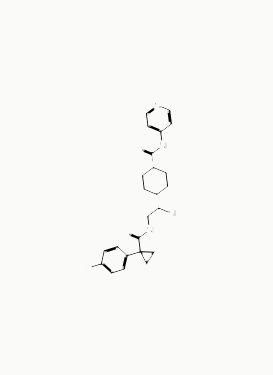 NC(CNC(=O)C1(c2ccc(F)cc2)CC1)[C@H]1CC[C@H](C(=O)Nc2ccncc2)CC1